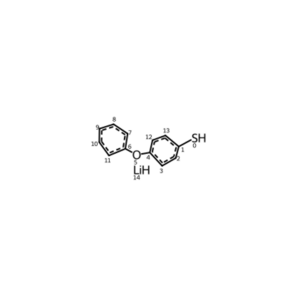 Sc1ccc(Oc2ccccc2)cc1.[LiH]